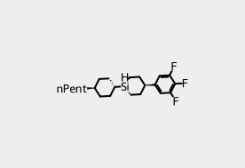 CCCCC[C@H]1CC[C@H]([Si@H]2CC[C@H](c3cc(F)c(F)c(F)c3)CC2)CC1